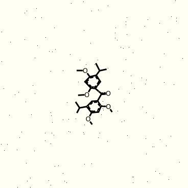 COc1cc(OC)c(C(C)C)cc1C(=O)c1cc(C(C)C)c(OC)cc1OC